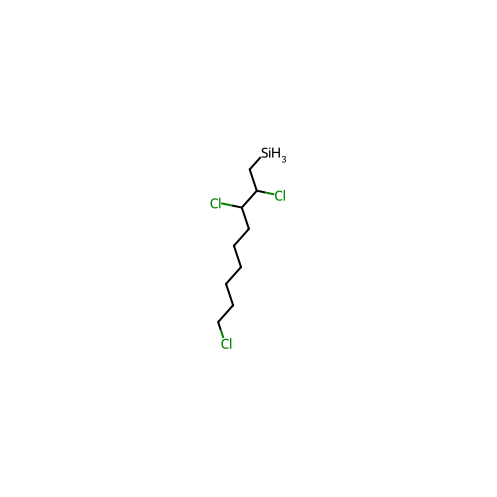 [SiH3]CC(Cl)C(Cl)CCCCCCCl